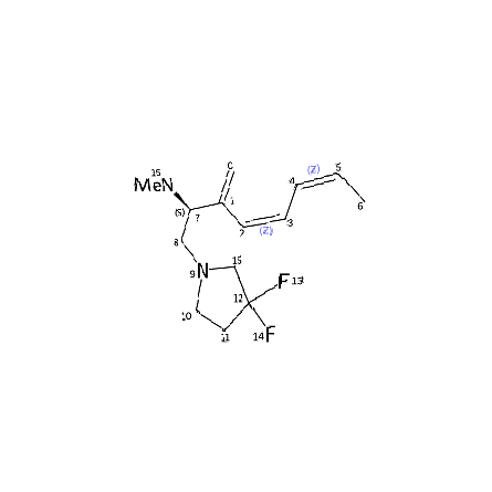 C=C(/C=C\C=C/C)[C@@H](CN1CCC(F)(F)C1)NC